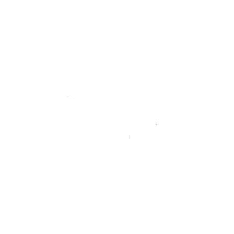 CCOC(=O)CC(C)c1cc(F)c(O)c(F)c1